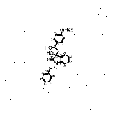 CCCCCCc1ccc(C(O)CC2(O)C(=O)N(CCc3ccccc3)c3ccccc32)cc1